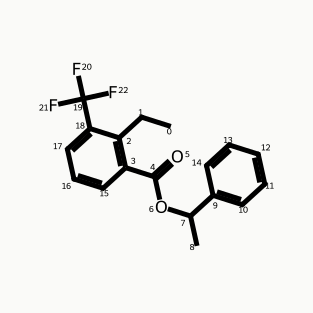 CCc1c(C(=O)OC(C)c2ccccc2)cccc1C(F)(F)F